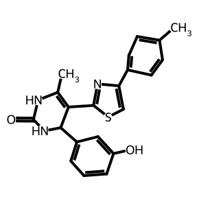 CC1=C(c2nc(-c3ccc(C)cc3)cs2)C(c2cccc(O)c2)NC(=O)N1